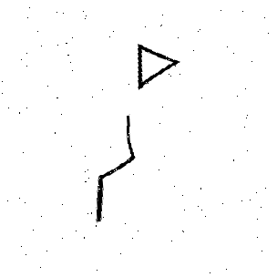 C1CC1.CCCC